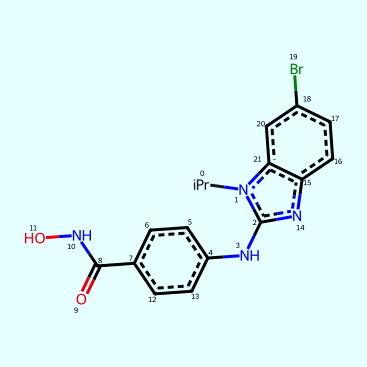 CC(C)n1c(Nc2ccc(C(=O)NO)cc2)nc2ccc(Br)cc21